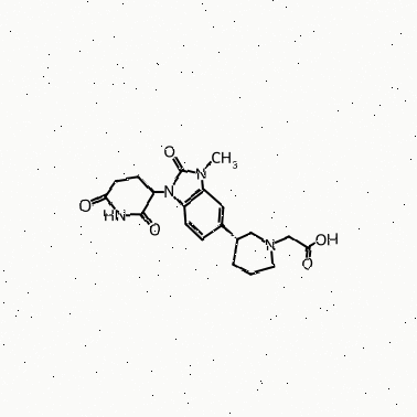 Cn1c(=O)n(C2CCC(=O)NC2=O)c2ccc([C@@H]3CCCN(CC(=O)O)C3)cc21